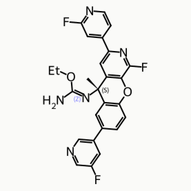 CCO/C(N)=N\[C@@]1(C)c2cc(-c3cncc(F)c3)ccc2Oc2c1cc(-c1ccnc(F)c1)nc2F